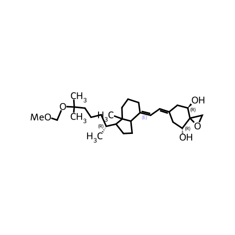 COCOC(C)(C)CCC[C@@H](C)C1CCC2/C(=C/C=C3C[C@@H](O)C4(CO4)[C@H](O)C3)CCCC21C